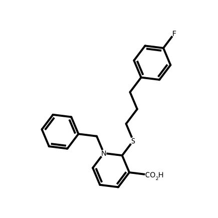 O=C(O)C1=CC=CN(Cc2ccccc2)C1SCCCc1ccc(F)cc1